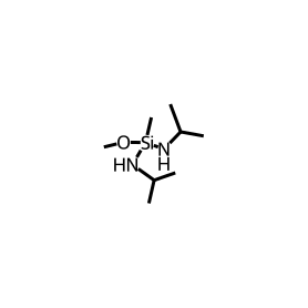 CO[Si](C)(NC(C)C)NC(C)C